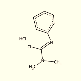 CN(C)C(Cl)=Nc1ccccc1.Cl